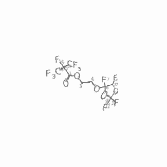 O=C(OCCOC1(F)OC(F)(F)OC1F)C(F)(C(F)(F)F)C(F)(F)F